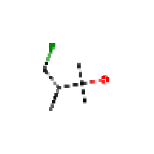 CC(CF)C(C)(C)[O]